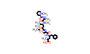 CC(=O)OC(CC(C(C)C)N(C)C(=O)C(C)NC(=O)[C@H]1CCCCN1C)c1nc(C(=O)NC(Cc2ccccc2)CC(C)C(=O)O)cs1